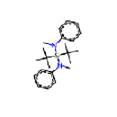 CN(c1ccccc1)[Si](N(C)c1ccccc1)(C(C)(C)C)C(C)(C)C